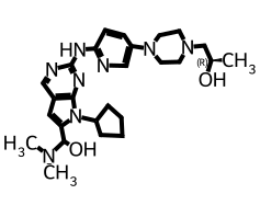 C[C@@H](O)CN1CCN(c2ccc(Nc3ncc4cc(C(O)N(C)C)n(C5CCCC5)c4n3)nc2)CC1